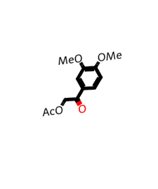 COc1ccc(C(=O)COC(C)=O)cc1OC